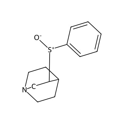 [O-][S+](c1ccccc1)C1CN2CCC1CC2